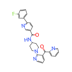 O=C(NC1CCN(c2ncccc2C(=O)c2ccccn2)CC1)c1ccc(-c2cccc(F)c2)nc1